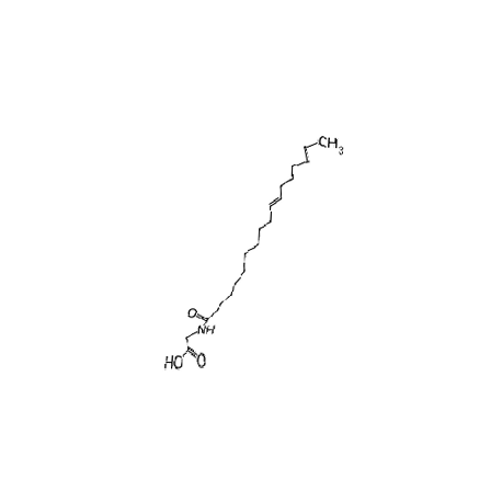 CCCCCC/C=C/CCCCCCCCCC(=O)NCC(=O)O